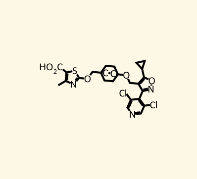 Cc1nc(OCC23CCC(OCc4c(-c5c(Cl)cncc5Cl)noc4C4CC4)(CC2)CC3)sc1C(=O)O